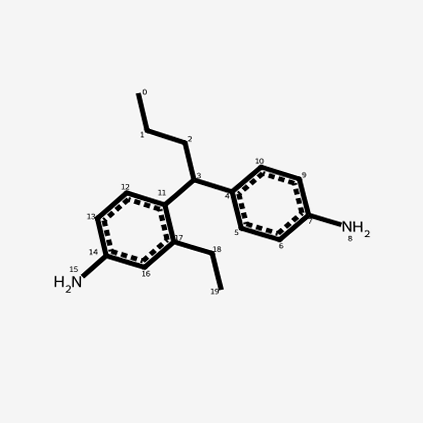 CCCC(c1ccc(N)cc1)c1ccc(N)cc1CC